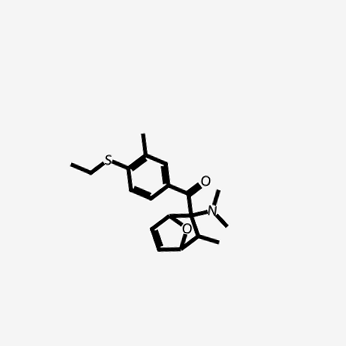 CCSc1ccc(C(=O)C2(N(C)C)C3C=CC(O3)C2C)cc1C